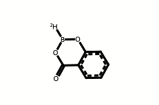 [2H]B1OC(=O)c2ccccc2O1